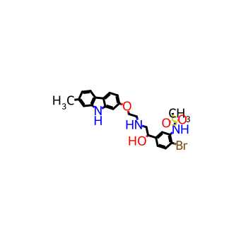 Cc1ccc2c(c1)[nH]c1cc(OCCNCC(O)c3ccc(Br)c(NS(C)(=O)=O)c3)ccc12